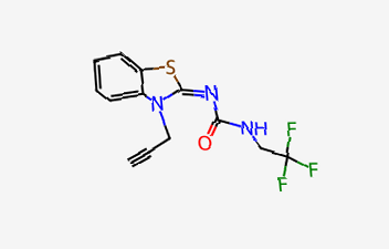 C#CCn1c(=NC(=O)NCC(F)(F)F)sc2ccccc21